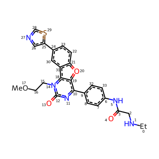 CCNCC(=O)Nc1ccc(-c2nc(=O)n(CCOC)c3c2oc2ccc(-c4cncs4)cc23)cc1